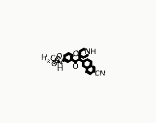 CS(=O)(=O)Nc1ccc2c(c1)C(=O)C(C1CCc3cc(C#N)ccc3C1)C1(CCNCC1)O2